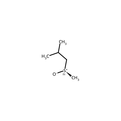 CC(C)C[S@@+](C)[O-]